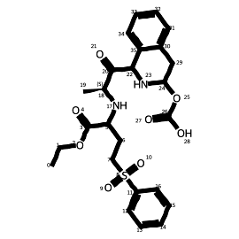 CCOC(=O)C(CCS(=O)(=O)c1ccccc1)N[C@@H](C)C(=O)C1NC(OC(=O)O)Cc2ccccc21